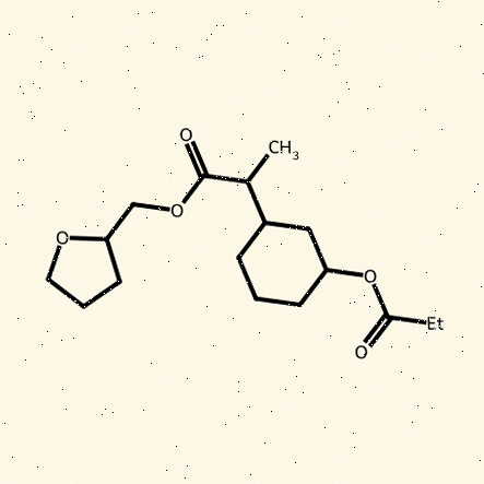 CCC(=O)OC1CCCC(C(C)C(=O)OCC2CCCO2)C1